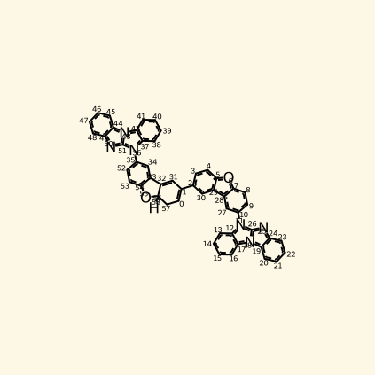 C1=C(c2ccc3oc4ccc(-n5c6ccccc6n6c7ccccc7nc56)cc4c3c2)C=C2c3cc(-n4c5ccccc5n5c6ccccc6nc45)ccc3O[C@H]2C1